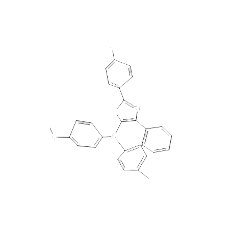 COc1ccc(N(c2ccc(C)cc2)c2sc(-c3ccc(Cl)cc3)nc2-c2ccccc2)cc1